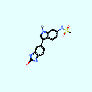 CC(C)n1cc(-c2ccc3[nH]c(=O)[nH]c3c2)c2ccc(NS(C)(=O)=O)cc21